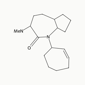 CNC1CCC2CCCC2N(C2C=CCCCC2)C1=O